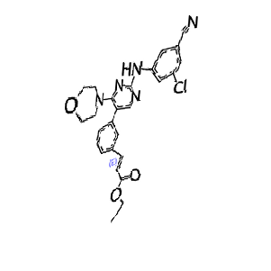 CCOC(=O)/C=C/c1cccc(-c2cnc(Nc3cc(Cl)cc(C#N)c3)nc2N2CCOCC2)c1